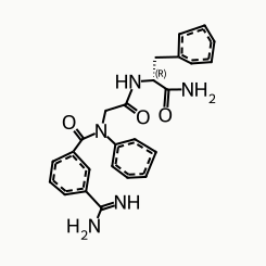 N=C(N)c1cccc(C(=O)N(CC(=O)N[C@H](Cc2ccccc2)C(N)=O)c2ccccc2)c1